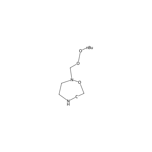 CCCCOOCN1CCNCCO1